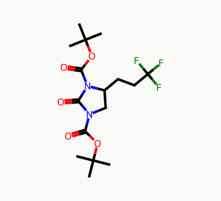 CC(C)(C)OC(=O)N1CC(CCC(F)(F)F)N(C(=O)OC(C)(C)C)C1=O